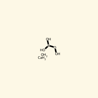 O.OOB(O)O.[CaH2]